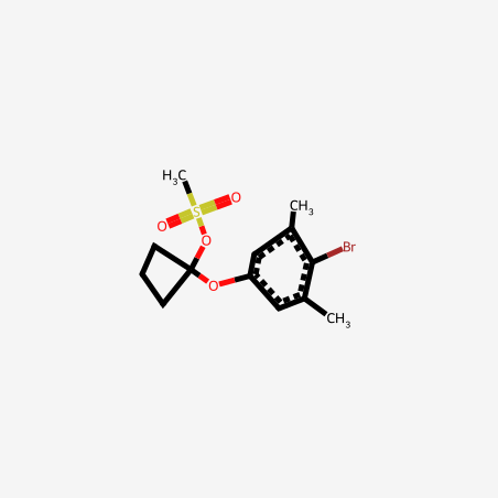 Cc1cc(OC2(OS(C)(=O)=O)CCC2)cc(C)c1Br